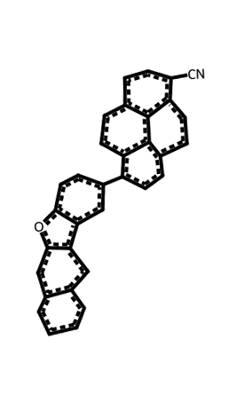 N#Cc1ccc2ccc3c(-c4ccc5oc6cc7ccccc7cc6c5c4)ccc4ccc1c2c43